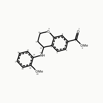 COC(=O)c1ccc2c(c1)OCCC2Nc1ccccc1OC